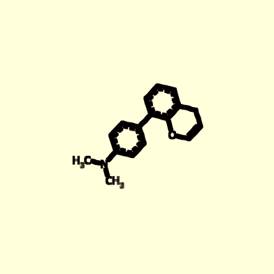 CN(C)c1ccc(-c2cccc3c2OC=CC3)cc1